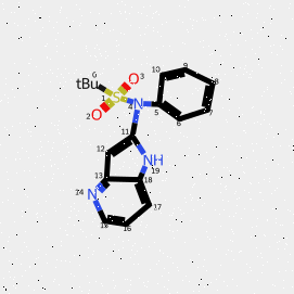 CC(C)(C)S(=O)(=O)N(c1ccccc1)c1cc2ncccc2[nH]1